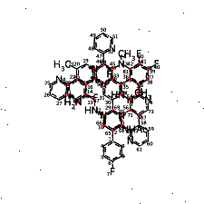 CC(=O)NC1=C(c2ccc(F)cc2)[C]=C(NCC(N)c2nccc(C)c2-c2ncccn2)C(c2ccc(F)c(-c3ccc(F)cc3N(C)CCc3ccccn3)c2N(C)CCc2cccnc2-c2ccncc2)N1c1ccnc(-c2ccc(F)cc2)c1NCc1ccnc(-c2ccccc2F)n1